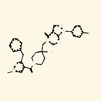 Cn1cc(C(=O)N2CCC(O)(Cn3cnc4c(cnn4-c4ccc(F)cc4)c3=O)CC2)c(Cc2ccccc2)n1